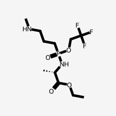 CCOC(=O)[C@H](C)NP(=O)(CCCNC)OCC(F)(F)F